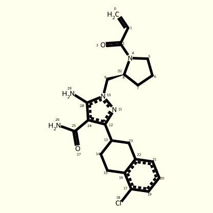 C=CC(=O)N1CCC[C@H]1Cn1nc(C2CCc3c(Cl)cccc3C2)c(C(N)=O)c1N